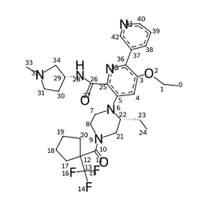 CCOc1cc(N2CCN(C(=O)C3(C(F)(F)F)CCCC3)C[C@H]2CC)c(C(=O)N[C@@H]2CCN(C)C2)nc1-c1cccnc1